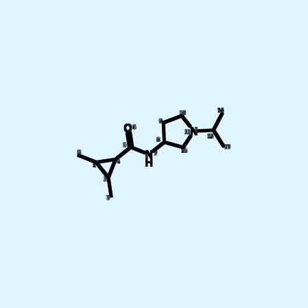 CC1C(C)C1C(=O)NC1CCN(C(C)C)C1